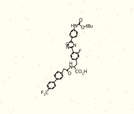 CC(C)(C)OC(=O)Nc1ccc(-c2nc(-c3ccc(CC(NC(=O)Cc4ccc(-c5ccc(C(F)(F)F)cc5)cc4)C(=O)O)cc3F)no2)cc1